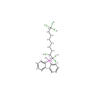 C[PH](c1ccccc1)(c1ccccc1)C(F)(F)C(F)CCCCCCC(F)(F)F